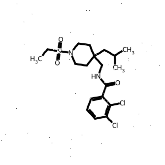 CCS(=O)(=O)N1CCC(CNC(=O)c2cccc(Cl)c2Cl)(CC(C)C)CC1